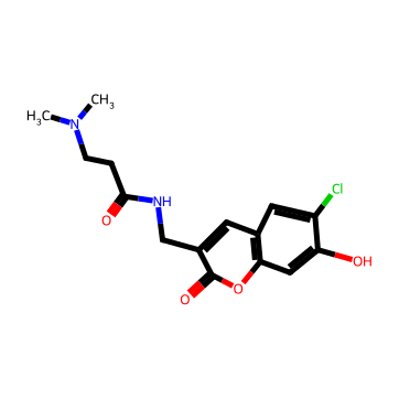 CN(C)CCC(=O)NCc1cc2cc(Cl)c(O)cc2oc1=O